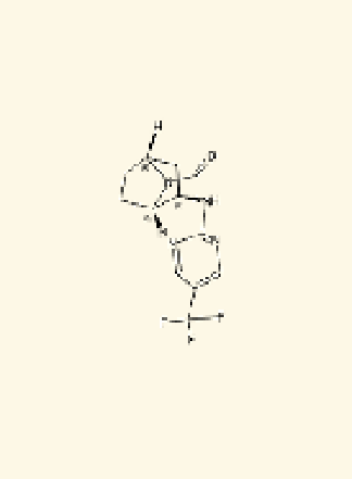 O=CN1[C@@H]2CC[C@H]1[C@H](Nc1ncc(C(F)(F)F)cn1)C2